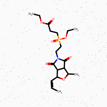 C/C=C\C1OC(C)C2C(=O)N(CCP(=O)(CCC(=O)OCC)OCC)C(=O)C12